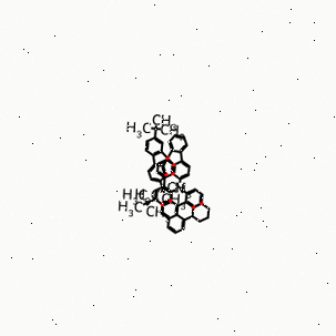 CC(C)(C)c1ccc(N(c2ccc3c(c2)C2(c4ccccc4-3)c3cc(C(C)(C)C)ccc3-c3ccc(C(C)(C)C)cc32)c2ccccc2-c2cccc3cccc(C4CCCCC4)c23)c(-c2ccccc2)c1